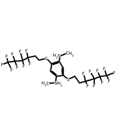 C[SiH2]c1cc(SCCC(F)(F)C(F)(F)C(F)(F)C(F)(F)F)c([SiH2]C)cc1SCCC(F)(F)C(F)(F)C(F)(F)C(F)(F)F